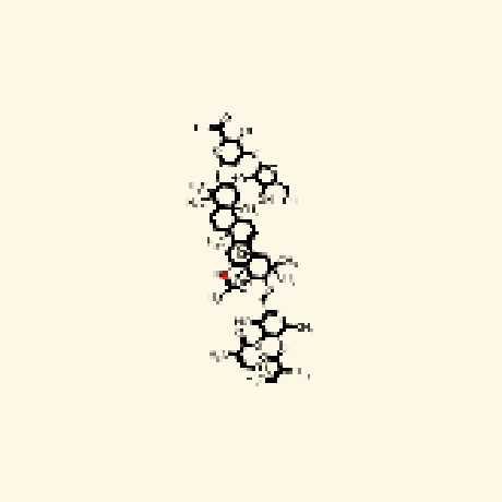 C/C=C(/C)C(=O)OC1C(O)[C@H](CO[C@H]2[C@H](OC(C)=O)[C@@]3(CO)C(CC2(C)C)C2=CCC4[C@@]5(C)CC[C@H](O[C@H]6CC(O[C@@H]7O[C@@H](CO)C(O)C7O)[C@H](O)C(C(=O)O)O6)C(C)(C)C5CC[C@@]4(C)[C@]2(C)C[C@H]3O)OC(C)[C@@H]1OC(=O)/C(C)=C\C